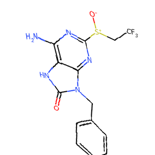 Nc1nc([S+]([O-])CC(F)(F)F)nc2c1[nH]c(=O)n2Cc1ccccc1